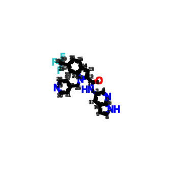 O=C(Nc1cnc2[nH]ccc2c1)c1cc2ccc(C(F)(F)F)cc2n1Cc1ccncc1